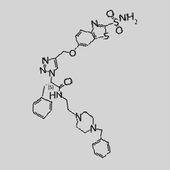 NS(=O)(=O)c1nc2ccc(OCc3cn([C@@H](Cc4ccccc4)C(=O)NCCN4CCN(Cc5ccccc5)CC4)nn3)cc2s1